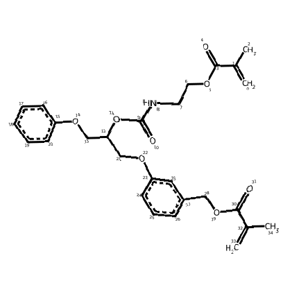 C=C(C)C(=O)OCCNC(=O)OC(COc1ccccc1)COc1cccc(COC(=O)C(=C)C)c1